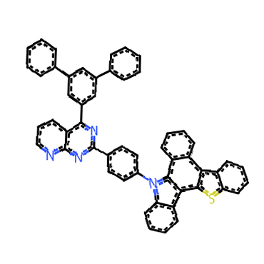 c1ccc(-c2cc(-c3ccccc3)cc(-c3nc(-c4ccc(-n5c6ccccc6c6c7sc8ccccc8c7c7ccccc7c65)cc4)nc4ncccc34)c2)cc1